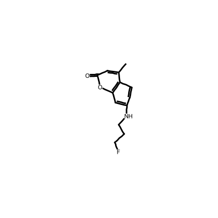 Cc1cc(=O)oc2cc(NCCCF)ccc12